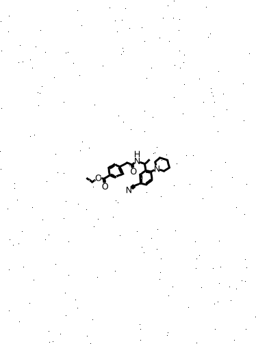 CCOC(=O)c1ccc(CC(=O)NC(C)c2cc(C#N)ccc2N2CCCCC2)cc1